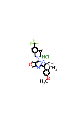 COc1ccc(-c2c(C)nn3c(N(Cc4ccc(C(F)(F)F)cc4)CC4CC4)c4c(nc23)COC4)c(C)c1.Cl